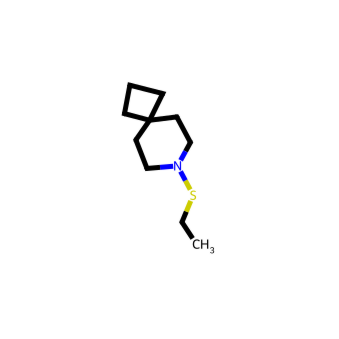 CCSN1CCC2(CCC2)CC1